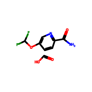 NC(=O)c1ccc(OC(F)F)cn1.O=CO